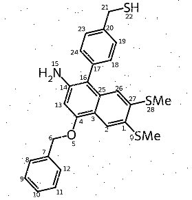 CSc1cc2c(OCc3ccccc3)cc(N)c(-c3ccc(CS)cc3)c2cc1SC